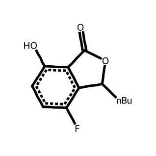 CCCCC1OC(=O)c2c(O)ccc(F)c21